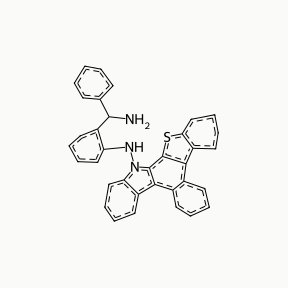 NC(c1ccccc1)c1ccccc1Nn1c2ccccc2c2c3ccccc3c3c4ccccc4sc3c21